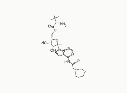 CC(C)(C)[C@H](N)C(=O)OC[C@H]1O[C@@](C)(c2ccc3c(NC(=O)CC4CCCCC4)ncnn23)[C@H](O)[C@@H]1O